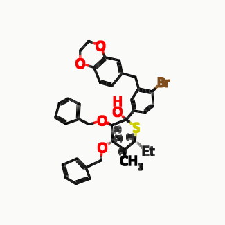 CC[C@H]1SC(O)(c2ccc(Br)c(Cc3ccc4c(c3)OCCO4)c2)[C@H](OCc2ccccc2)[C@@H](OCc2ccccc2)[C@@H]1C